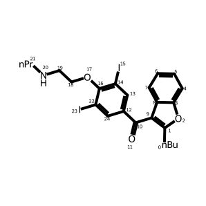 CCCCc1oc2ccccc2c1C(=O)c1cc(I)c(OCCNCCC)c(I)c1